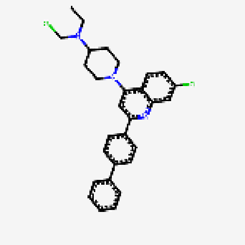 CCN(CCl)C1CCN(c2cc(-c3ccc(-c4ccccc4)cc3)nc3cc(Cl)ccc23)CC1